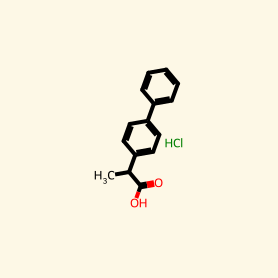 CC(C(=O)O)c1ccc(-c2ccccc2)cc1.Cl